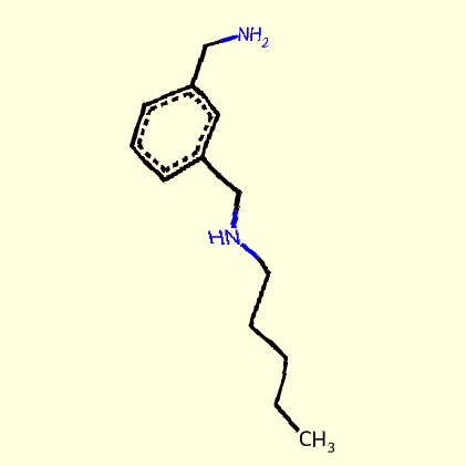 CCCCCNCc1cccc(CN)c1